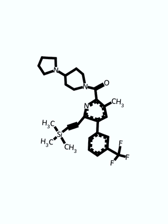 Cc1cc(-c2cccc(C(F)(F)F)c2)c(C#C[Si](C)(C)C)nc1C(=O)N1CCC(N2CCCC2)CC1